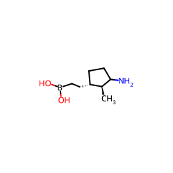 C[C@@H]1C(N)CC[C@H]1CCB(O)O